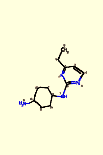 CCc1ccnc(NC2CCC(N)CC2)n1